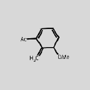 C=C1C(C(C)=O)=[C]C=CC1OC